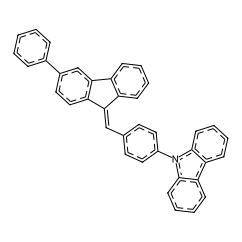 C(=C1/c2ccccc2-c2cc(-c3ccccc3)ccc21)/c1ccc(-n2c3ccccc3c3ccccc32)cc1